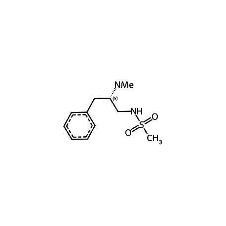 CN[C@H](CNS(C)(=O)=O)Cc1ccccc1